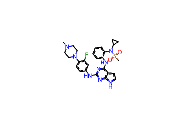 CN1CCN(c2ccc(Nc3nc(Nc4ccccc4N(C4CC4)S(C)(=O)=O)c4cc[nH]c4n3)cc2F)CC1